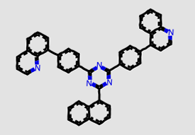 c1ccc2c(-c3nc(-c4ccc(-c5ccnc6ccccc56)cc4)nc(-c4ccc(-c5cccc6cccnc56)cc4)n3)cccc2c1